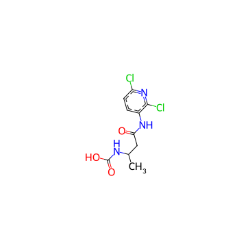 CC(CC(=O)Nc1ccc(Cl)nc1Cl)NC(=O)O